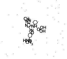 CCn1ncc2c(NC3CCCCC3)c(C3=NOC4(CCC(C(=O)NC)CC4)C3)cnc21.O=C(O)O